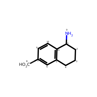 NC1CCCc2cc(C(=O)O)ccc21